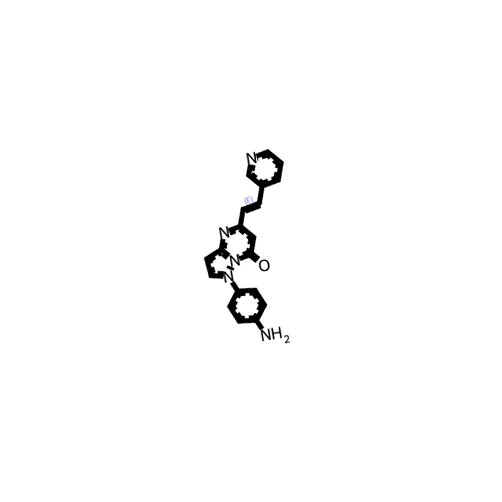 Nc1ccc(-n2ccc3nc(/C=C/c4cccnc4)cc(=O)n32)cc1